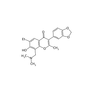 CCc1cc2c(=O)c(-c3ccc4c(c3)OCO4)c(C)oc2c(CN(C)C)c1O